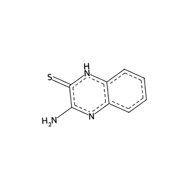 Nc1nc2ccccc2[nH]c1=S